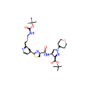 CC(C)(C)OC(=O)NCCCc1cc(-c2nc(C(=O)Nc3cn(C4CCOCC4)nc3C(=O)OC(C)(C)C)cs2)ccn1